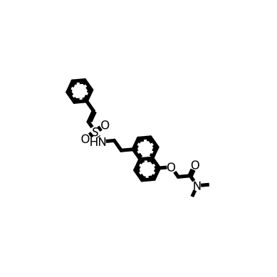 CN(C)C(=O)COc1cccc2c(CCNS(=O)(=O)C=Cc3ccccc3)cccc12